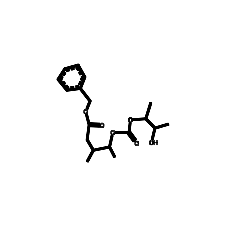 CC(O)C(C)OC(=O)OC(C)C(C)CC(=O)OCc1ccccc1